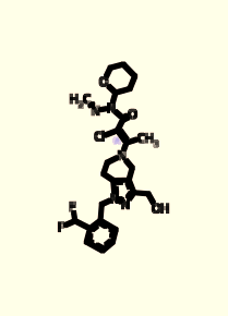 C=NN(C(=O)/C(Cl)=C(\C)N1CCc2c(c(CO)nn2Cc2ccccc2C(F)F)C1)C1CCCCO1